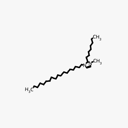 CCCCCCCCCCCCCCCCCCN1C=CN(C)C1CCCCCCCC